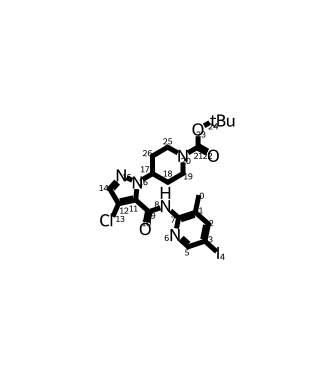 Cc1cc(I)cnc1NC(=O)c1c(Cl)cnn1C1CCN(C(=O)OC(C)(C)C)CC1